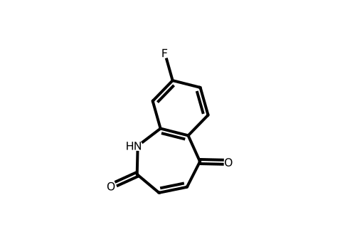 O=c1ccc(=O)c2ccc(F)cc2[nH]1